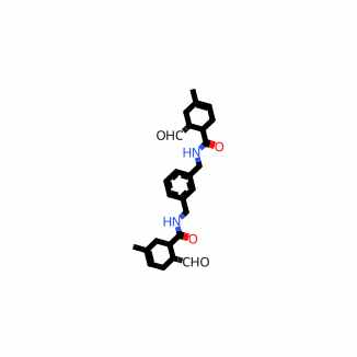 CC1=CCC(C(=O)NCc2cccc(CNC(=O)C3CC(C)=CCC3C=O)c2)C(C=O)C1